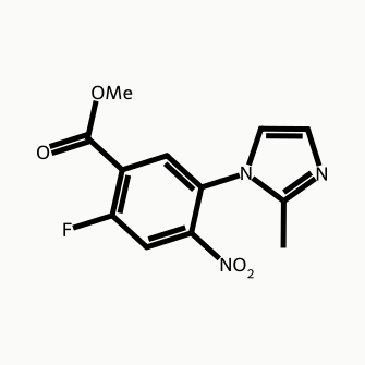 COC(=O)c1cc(-n2ccnc2C)c([N+](=O)[O-])cc1F